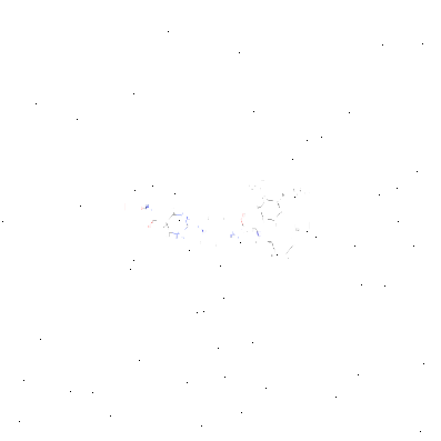 COc1ccc(/C(=C\C2=CC=CC(C)C2)C(=O)NC2CCN(c3ncc(C(=O)NO)cn3)CC2)cc1OC